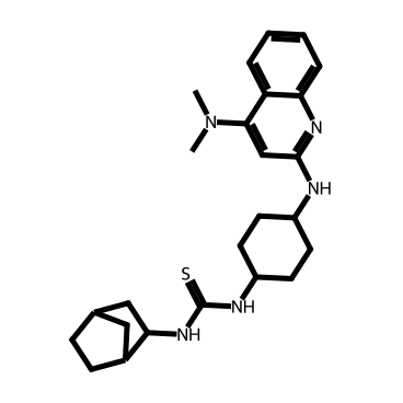 CN(C)c1cc(NC2CCC(NC(=S)NC3CC4CCC3C4)CC2)nc2ccccc12